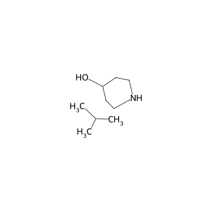 CC(C)C.OC1CCNCC1